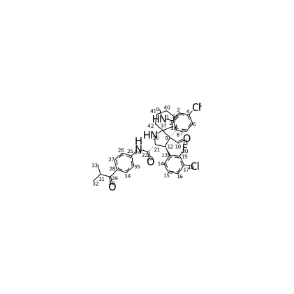 CNc1cc(Cl)ccc1[C@]1(C=O)[C@@H](c2cccc(Cl)c2F)[C@H](C(=O)Nc2ccc(C(=O)C(C)C)cc2)NC12CCCCC2